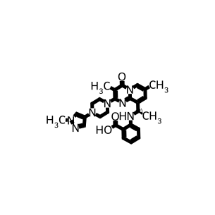 Cc1cc([C@@H](C)Nc2ccccc2C(=O)O)c2nc(N3CCN(c4cnn(C)c4)CC3)c(C)c(=O)n2c1